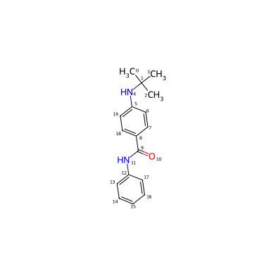 CC(C)(C)Nc1ccc(C(=O)Nc2ccccc2)cc1